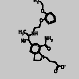 CCOc1ccccc1OCCNC(C)Cc1cc2c(c(C(N)=O)c1)N(CCCC(=O)[O-])CC2.[Na+]